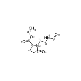 CCOC(=O)C1CCC(=O)N1CCN[C]=O